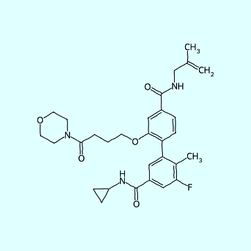 C=C(C)CNC(=O)c1ccc(-c2cc(C(=O)NC3CC3)cc(F)c2C)c(OCCCC(=O)N2CCOCC2)c1